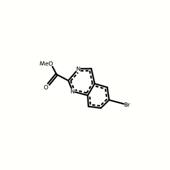 COC(=O)c1ncc2cc(Br)ccc2n1